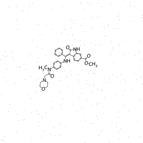 COC(=O)c1ccc2c(c1)NC(=O)C2=C(Nc1ccc(N(C)C(=O)CN2CCOCC2)cc1)c1ccccc1